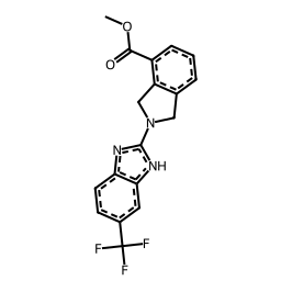 COC(=O)c1cccc2c1CN(c1nc3ccc(C(F)(F)F)cc3[nH]1)C2